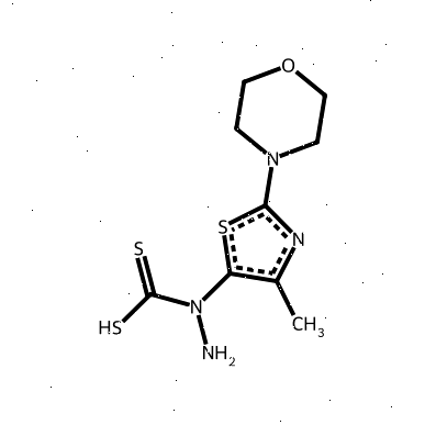 Cc1nc(N2CCOCC2)sc1N(N)C(=S)S